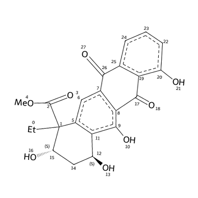 CCC1(C(=O)OC)c2cc3c(c(O)c2[C@@H](O)C[C@@H]1O)C(=O)c1c(O)cccc1C3=O